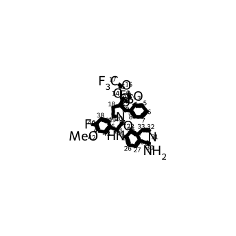 CCS(=O)(=O)c1ccccc1C1C(C(=O)OC(=O)C(F)(F)F)CCN1C(=O)[C@H](Nc1ccc2c(N)nccc2c1)c1ccc(F)c(OC)c1